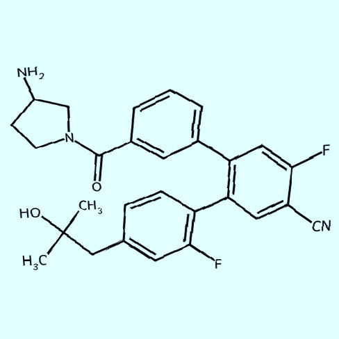 CC(C)(O)Cc1ccc(-c2cc(C#N)c(F)cc2-c2cccc(C(=O)N3CCC(N)C3)c2)c(F)c1